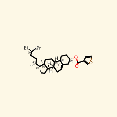 CC[C@H](CC[C@@H](C)[C@H]1CC[C@H]2[C@@H]3CC=C4C[C@@H](OC(=O)c5ccsc5)CC[C@]4(C)[C@H]3CC[C@]12C)C(C)C